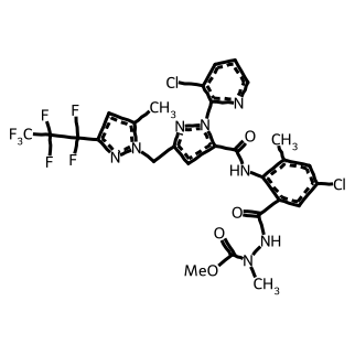 COC(=O)N(C)NC(=O)c1cc(Cl)cc(C)c1NC(=O)c1cc(Cn2nc(C(F)(F)C(F)(F)C(F)(F)F)cc2C)nn1-c1ncccc1Cl